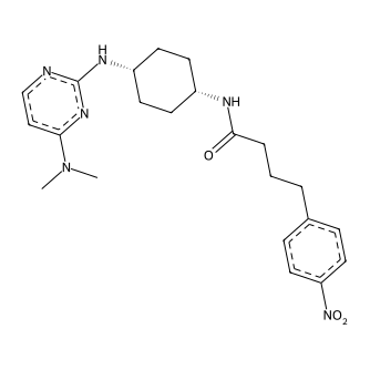 CN(C)c1ccnc(N[C@H]2CC[C@@H](NC(=O)CCCc3ccc([N+](=O)[O-])cc3)CC2)n1